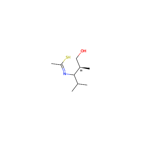 CC(S)=NC(C(C)C)[C@H](C)CO